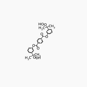 CC(C)(OO)c1cccc(OC(=O)c2ccc(C(=O)Oc3cccc(C(C)(C)OO)c3)cc2)c1